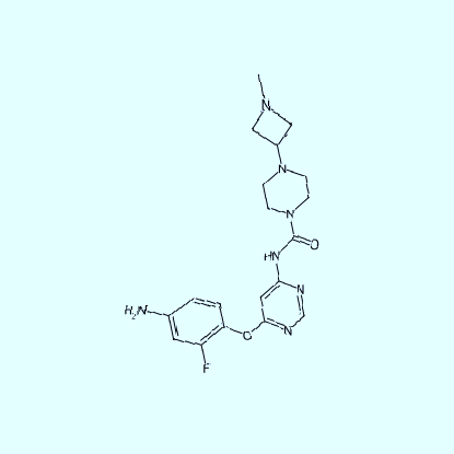 CN1CC(N2CCN(C(=O)Nc3cc(Oc4ccc(N)cc4F)ncn3)CC2)C1